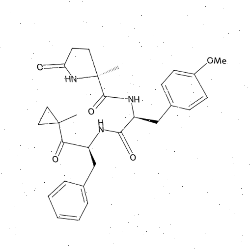 COc1ccc(C[C@H](NC(=O)[C@]2(C)CCC(=O)N2)C(=O)N[C@@H](Cc2ccccc2)C(=O)C2(C)CC2)cc1